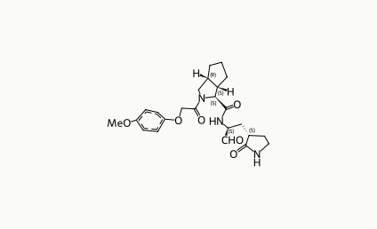 COc1ccc(OCC(=O)N2C[C@@H]3CCC[C@@H]3[C@H]2C(=O)N[C@H](C=O)C[C@@H]2CCNC2=O)cc1